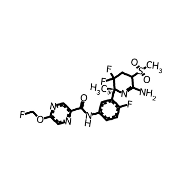 C[C@]1(c2cc(NC(=O)c3cnc(OCF)cn3)ccc2F)N=C(N)C(S(C)(=O)=O)CC1(F)F